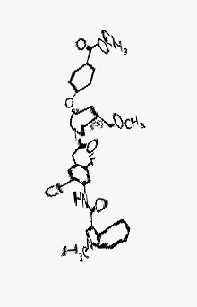 COC[C@@H]1C[C@@H](O[C@H]2CC[C@H](C(=O)OC)CC2)CN1C(=O)Cc1cc(Cl)c(NC(=O)c2cn(C)c3ccccc23)cc1F